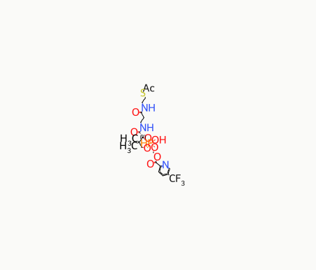 CC(=O)SCCNC(=O)CCNC(=O)[C@@H]1O[PH](O)(OCOC(=O)c2ccc(C(F)(F)F)cn2)OCC1(C)C